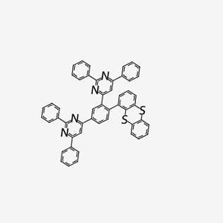 c1ccc(-c2cc(-c3ccc(-c4cccc5c4Sc4ccccc4S5)c(-c4cc(-c5ccccc5)nc(-c5ccccc5)n4)c3)nc(-c3ccccc3)n2)cc1